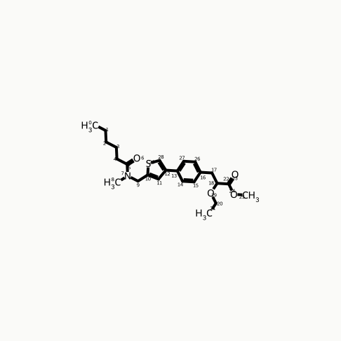 CCCCCC(=O)N(C)Cc1cc(-c2ccc(CC(OCC)C(=O)OC)cc2)cs1